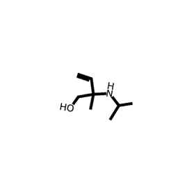 C=CC(C)(CO)NC(C)C